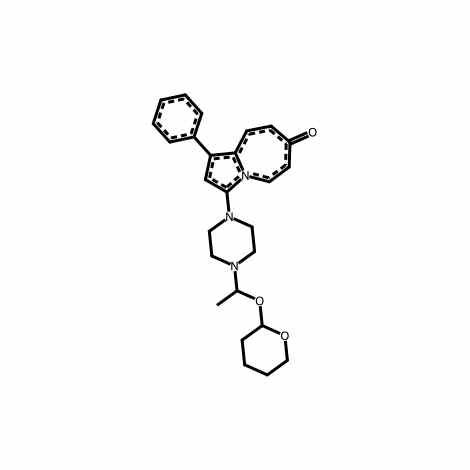 CC(OC1CCCCO1)N1CCN(c2cc(-c3ccccc3)c3ccc(=O)ccn23)CC1